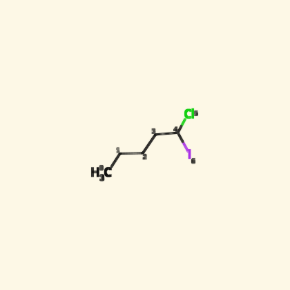 CCCCC(Cl)I